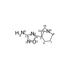 Nc1noc(C23CCCN(CC2)C3)n1